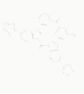 O=C(c1ccccc1)c1cccc([N+](=O)[O-])c1.O=C(n1ccc2cc(-c3nn[nH]n3)ccc21)n1ccc2cc(-c3nn[nH]n3)ccc21